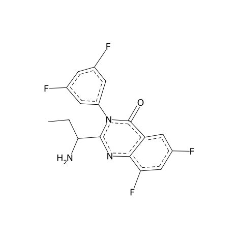 CCC(N)c1nc2c(F)cc(F)cc2c(=O)n1-c1cc(F)cc(F)c1